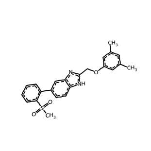 Cc1cc(C)cc(OCc2nc3cc(-c4ccccc4S(C)(=O)=O)ccc3[nH]2)c1